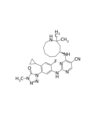 Cn1nnn(-c2cc(Nc3ncc(C#N)c(N[C@H]4CCCCCNC(C)(C)C4)n3)c(F)cc2C2CC2)c1=O